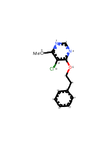 COc1ncnc(OCCc2ccccc2)c1Cl